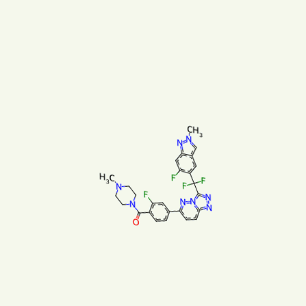 CN1CCN(C(=O)c2ccc(-c3ccc4nnc(C(F)(F)c5cc6cn(C)nc6cc5F)n4n3)cc2F)CC1